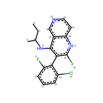 CCC(C)Nc1c(-c2c(F)cccc2Cl)c(F)nc2ccncc12